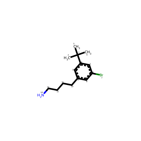 CC(C)(C)c1cc(Br)cc(CCCCN)c1